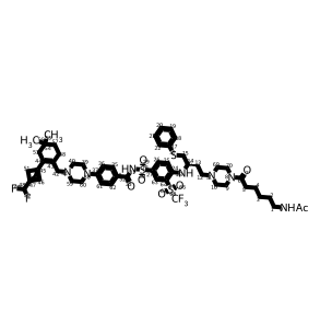 CC(=O)NCCCCCC(=O)N1CCN(CC[C@H](CSc2ccccc2)Nc2ccc(S(=O)(=O)NC(=O)c3ccc(N4CCN(CC5=C(C67CC(C(F)F)(C6)C7)CC(C)(C)CC5)CC4)cc3)cc2S(=O)(=O)C(F)(F)F)CC1